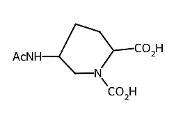 CC(=O)NC1CCC(C(=O)O)N(C(=O)O)C1